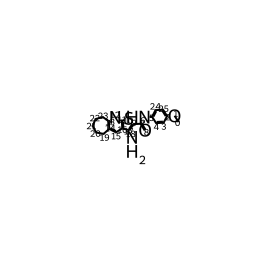 COc1ccc(NC(=O)c2sc3nc4c(cc3c2N)CCCCC4)cc1